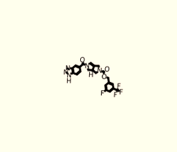 O=C(c1ccc2[nH]nnc2c1)N1C=C2CN(C(=O)OCc3cc(F)cc(C(F)(F)F)c3)C[C@@H]2C1